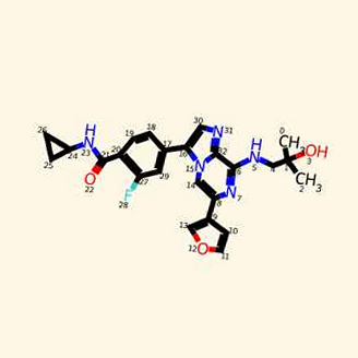 CC(C)(O)CNc1nc(-c2ccoc2)cn2c(-c3ccc(C(=O)NC4CC4)c(F)c3)cnc12